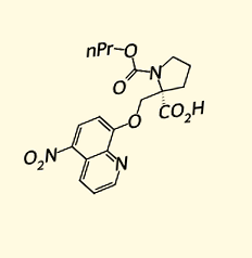 CCCOC(=O)N1CCC[C@]1(COc1ccc([N+](=O)[O-])c2cccnc12)C(=O)O